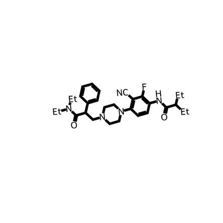 CCC(CC)C(=O)Nc1ccc(N2CCN(CC(C(=O)N(CC)CC)c3ccccc3)CC2)c(C#N)c1F